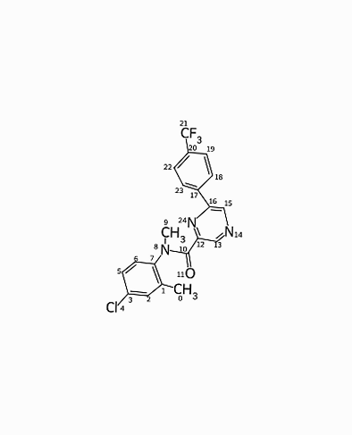 Cc1cc(Cl)ccc1N(C)C(=O)c1cncc(-c2ccc(C(F)(F)F)cc2)n1